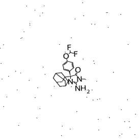 CN1C(=O)[C@@](c2ccc(OC(F)F)cc2)(C23CC4CC(CC(C4)C2)C3)N=C1N